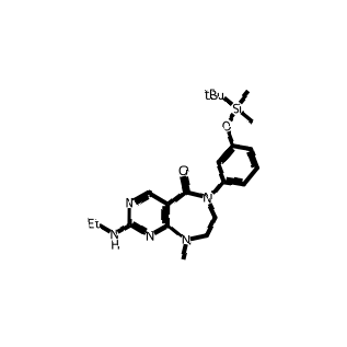 CCNc1ncc2c(n1)N(C)CCN(c1cccc(O[Si](C)(C)C(C)(C)C)c1)C2=O